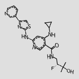 CC(C)(O)[C@H](F)CNC(=O)c1cnc(Nc2nc(-c3cccnc3)cs2)cc1NC1CC1